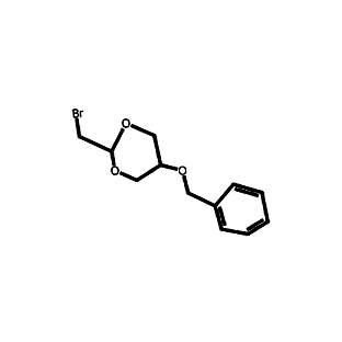 BrCC1OCC(OCc2ccccc2)CO1